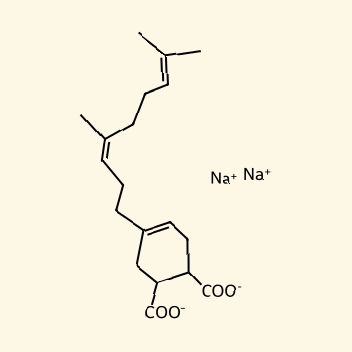 CC(C)=CCCC(C)=CCCC1=CCC(C(=O)[O-])C(C(=O)[O-])C1.[Na+].[Na+]